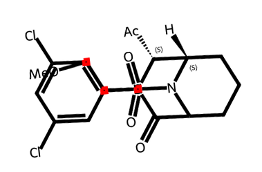 COCCN1C(=O)C2CCC[C@@H]([C@H]1C(C)=O)N2S(=O)(=O)c1cc(Cl)cc(Cl)c1